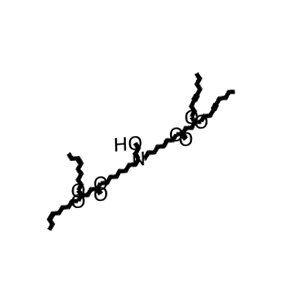 CC/C=C\CCCCOC(CCC(=O)OCCCCCCCN(CCO)CCCCCCCOC(=O)CCC(OCCC#CCCCC)OCCC#CCCCC)OCCCC/C=C\CC